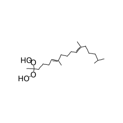 C/C(=C\CCCC(C)(OO)OO)CCC/C=C(\C)CCCC(C)C